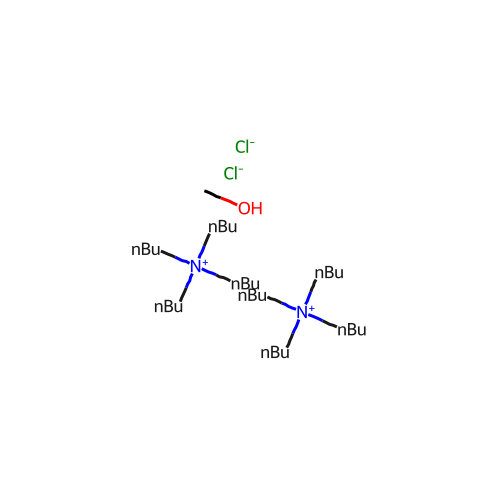 CCCC[N+](CCCC)(CCCC)CCCC.CCCC[N+](CCCC)(CCCC)CCCC.CO.[Cl-].[Cl-]